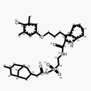 Cc1cc(OCCCc2c(C(=O)NCCS(=O)(=O)NC(=O)CC3CC4CC(C)CC(C3)C4)[nH]c3ccccc23)cc(C)c1Cl